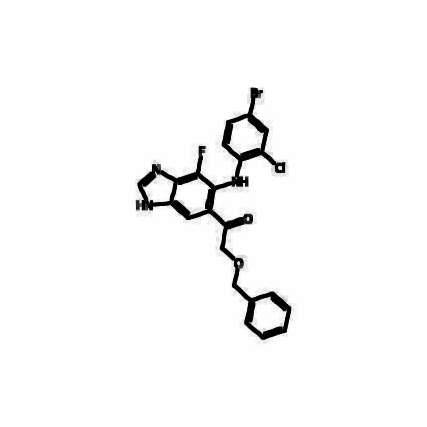 O=C(COCc1ccccc1)c1cc2[nH]cnc2c(F)c1Nc1ccc(Br)cc1Cl